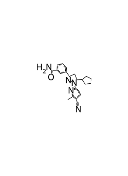 Cc1nc(N2N=C(c3cccc(C(N)=O)c3)CC2C2CCCC2)ccc1C#N